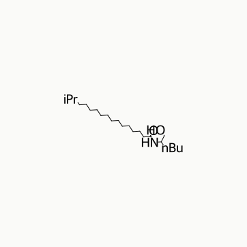 CCCCC(CO)NC(=O)CCCCCCCCCCCCCC(C)C